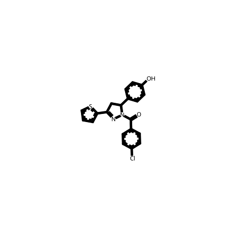 O=C(c1ccc(Cl)cc1)N1N=C(c2cccs2)CC1c1ccc(O)cc1